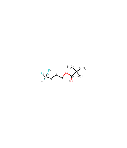 CC(C)(C)C(=O)OCCC[Si](F)(F)F